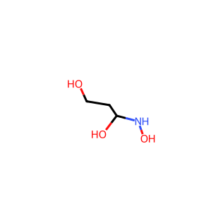 OCCC(O)NO